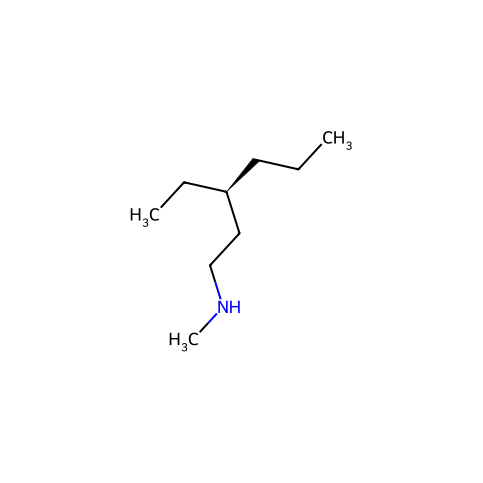 CCC[C@H](CC)CCNC